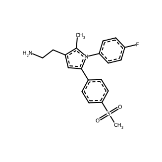 Cc1c(CCN)cc(-c2ccc(S(C)(=O)=O)cc2)n1-c1ccc(F)cc1